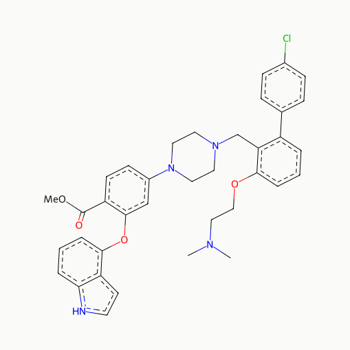 COC(=O)c1ccc(N2CCN(Cc3c(OCCN(C)C)cccc3-c3ccc(Cl)cc3)CC2)cc1Oc1cccc2[nH]ccc12